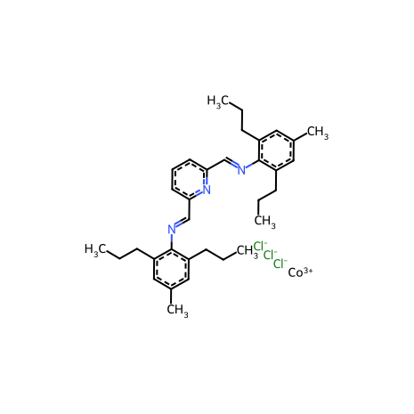 CCCc1cc(C)cc(CCC)c1N=Cc1cccc(C=Nc2c(CCC)cc(C)cc2CCC)n1.[Cl-].[Cl-].[Cl-].[Co+3]